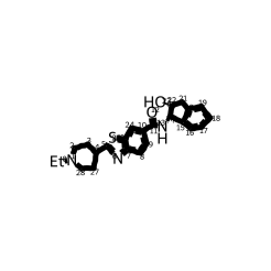 CCN1CCC(c2nc3ccc(C(=O)N[C@@H]4c5ccccc5C[C@H]4O)cc3s2)CC1